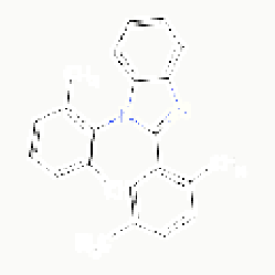 Cc1ccc(C)c(-c2nc3ccccc3n2-c2c(C)cccc2C)c1